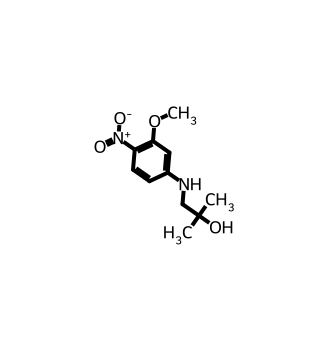 COc1cc(NCC(C)(C)O)ccc1[N+](=O)[O-]